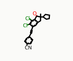 CC1(C2CCCC2)Cc2cc(C#Cc3ccc(C#N)cc3)c(Cl)c(Cl)c2C1=O